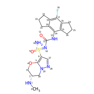 CN[C@@H]1COc2c([S@@](N)(=O)=NC(=O)Nc3c4c(c(F)c5c3CCC5)CCC4)cnn2C1